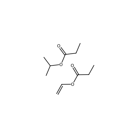 C=COC(=O)CC.CCC(=O)OC(C)C